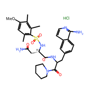 COc1cc(C)c(S(=O)(=O)N[C@@H](CC(N)=O)C(=O)NC(Cc2ccc3c(N)nccc3c2)C(=O)N2CCCCC2)c(C)c1C.Cl